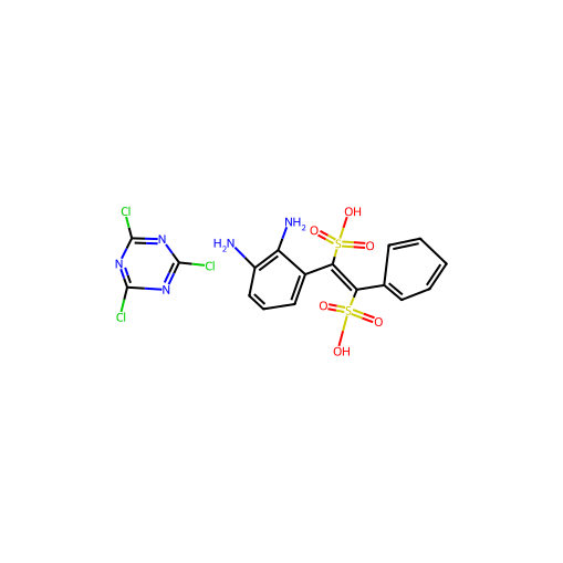 Clc1nc(Cl)nc(Cl)n1.Nc1cccc(C(=C(c2ccccc2)S(=O)(=O)O)S(=O)(=O)O)c1N